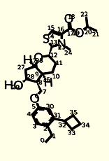 CCc1ccc(OC[C@@H]2[C@H]3CC[C@H](C4SC=C(C(=O)OC(C)C)N4C)O[C@H]3C[C@@H]2O)cc1C1CCC1